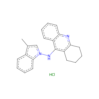 Cc1cn(Nc2c3c(nc4ccccc24)CCCC3)c2ccccc12.Cl